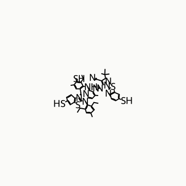 CCc1cc(C)c(S)c(CC)c1Nc1nc(N(c2nc3ccc(S)cc3s2)c2c(CC)cc(C)cc2CC)cc(C)c1N=Nc1c(C#N)c(C(C)(C)C)nn1-c1nc2ccc(S)cc2s1